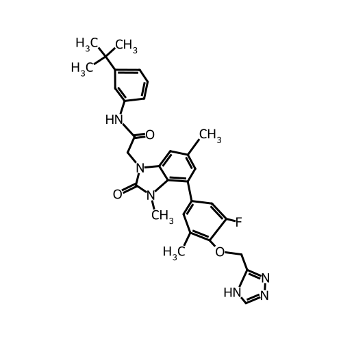 Cc1cc(-c2cc(C)c(OCc3nnc[nH]3)c(F)c2)c2c(c1)n(CC(=O)Nc1cccc(C(C)(C)C)c1)c(=O)n2C